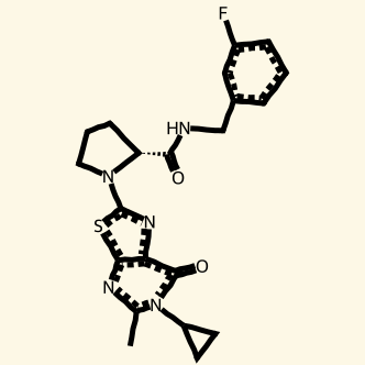 Cc1nc2sc(N3CCC[C@@H]3C(=O)NCc3cccc(F)c3)nc2c(=O)n1C1CC1